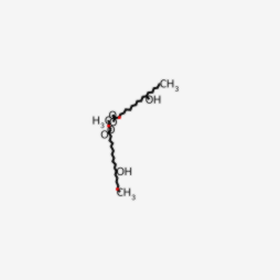 CCCCCCC(O)CCCCCCCCCCC(=O)OCC(C)OC(=O)CCCCCCCCCCC(O)CCCCCC